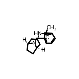 CC(=O)N[C@H]1C[C@H]2CC[C@@H](C1)N2Cc1ccccc1